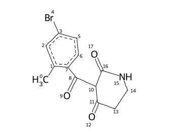 Cc1cc(Br)ccc1C(=O)C1C(=O)CCNC1=O